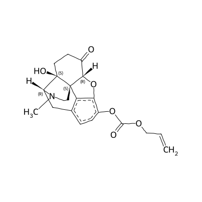 C=CCOC(=O)Oc1ccc2c3c1O[C@H]1C(=O)CC[C@@]4(O)[C@@H](C2)N(C)CC[C@]314